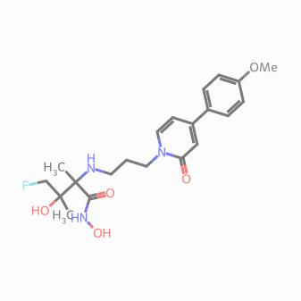 COc1ccc(-c2ccn(CCCNC(C)(C(=O)NO)C(C)(O)CF)c(=O)c2)cc1